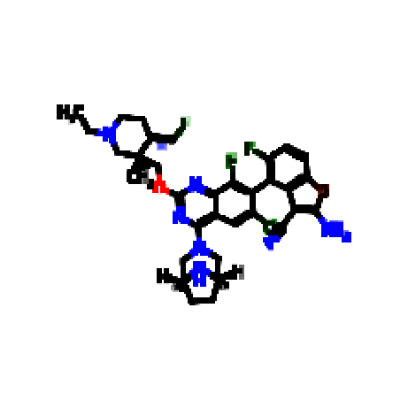 CCN1CC/C(=C\F)[C@](C)(COc2nc(N3C[C@H]4CC[C@@H](C3)N4)c3cc(Cl)c(-c4c(F)ccc5sc(N)c(C#N)c45)c(F)c3n2)C1